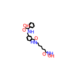 O=C(CCCCCNC(=O)c1cccc(CNC(C(=O)O)c2ccccc2)c1)NO